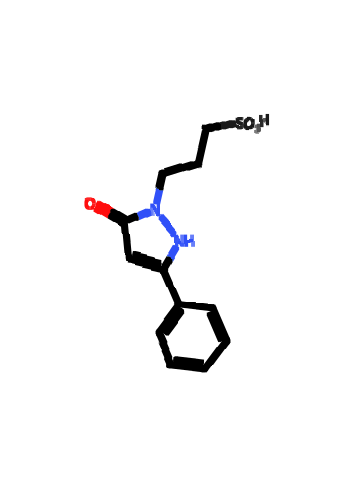 O=c1cc(-c2ccccc2)[nH]n1CCCS(=O)(=O)O